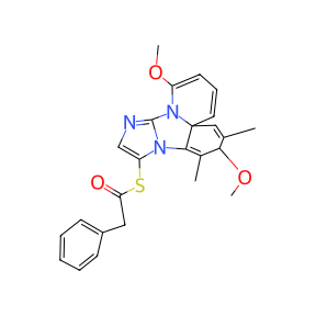 COC1=CC=CC23C=C(C)C(OC)C(C)=C2n2c(SC(=O)Cc4ccccc4)cnc2N13